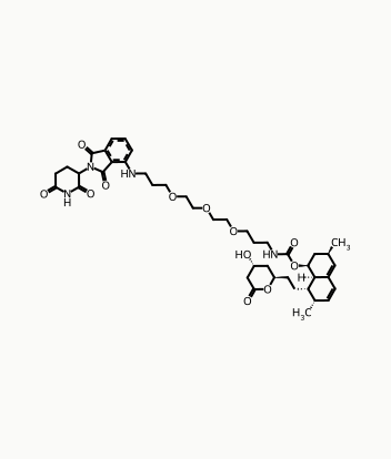 C[C@H]1C=C2C=C[C@H](C)[C@H](CC[C@@H]3C[C@@H](O)CC(=O)O3)[C@H]2[C@@H](OC(=O)NCCCOCCOCCOCCCNc2cccc3c2C(=O)N(C2CCC(=O)NC2=O)C3=O)C1